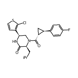 CC(C)C[C@H]1C(=O)N[C@@H](c2ccsc2Cl)CN1C(=O)[C@@H]1C[C@H]1c1ccc(F)cc1